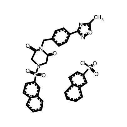 Cc1nc(-c2ccc(CN3C(=O)CN(S(=O)(=O)c4ccc5ccccc5c4)CC3=O)cc2)no1.O=S(=O)(Cl)c1ccc2ccccc2c1